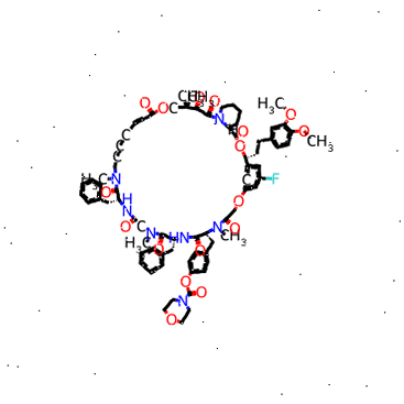 COc1ccc(CC[C@H]2OC(=O)[C@@H]3CCCCN3C(=O)C(=O)C(C)(C)COC(=O)/C=C/CCCCN(C)C(=O)[C@@H](Cc3ccccc3)NC(=O)CN(C)C(=O)[C@@H](Cc3ccccc3)NC(=O)[C@H](Cc3ccc(OC(=O)N4CCOCC4)cc3)N(C)C(=O)COc3cc(F)cc2c3)cc1OC